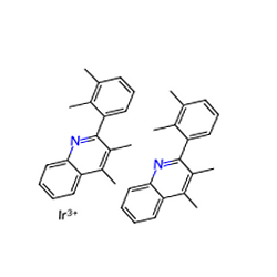 Cc1cccc(-c2nc3ccccc3c(C)c2C)c1C.Cc1cccc(-c2nc3ccccc3c(C)c2C)c1C.[Ir+3]